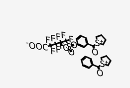 O=C([O-])C(F)(F)C(F)(F)C(F)(F)C(F)(F)S(=O)(=O)[O-].O=C(c1ccccc1)[S+]1CCCC1.O=C(c1ccccc1)[S+]1CCCC1